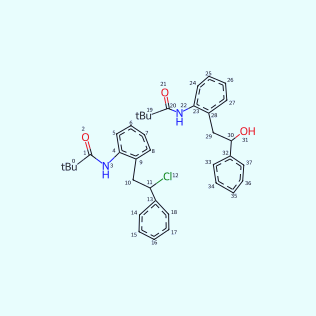 CC(C)(C)C(=O)Nc1ccccc1CC(Cl)c1ccccc1.CC(C)(C)C(=O)Nc1ccccc1CC(O)c1ccccc1